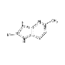 Cc1ccc2[nH]c(=S)[nH]c2n1